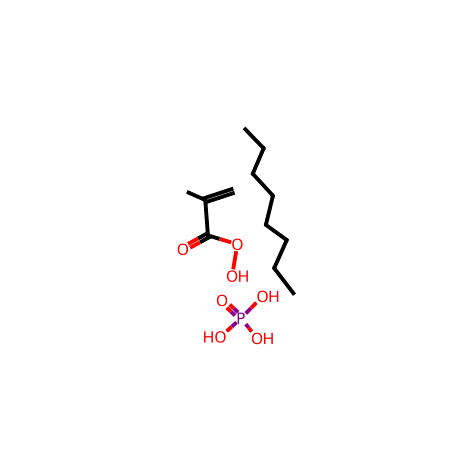 C=C(C)C(=O)OO.CCCCCCCC.O=P(O)(O)O